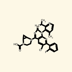 Cc1ccnc(C(C)C)c1-n1c(=O)nc(N2CCN(C(=O)O)C3CC32)c2cc(Cl)c(-c3ccccc3F)nc21